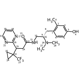 Cc1cc(O)ccc1C[C@@H](CNC(=O)CC(c1ncccn1)C1(C(F)(F)F)CC1)N(C)C